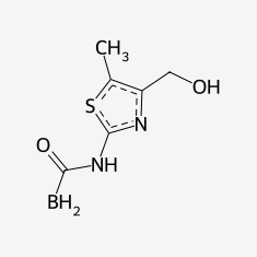 BC(=O)Nc1nc(CO)c(C)s1